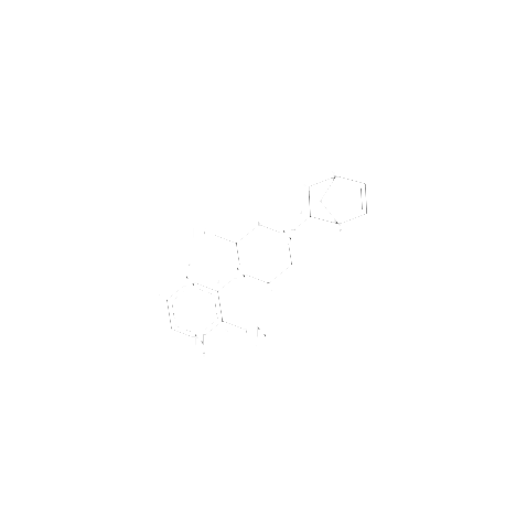 CC1CN(C2CC3C=CC2C3)CCN1c1nccnc1C#N